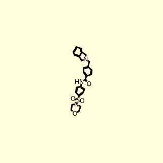 O=C(Nc1ccc(S(=O)(=O)N2CCOCC2)cc1)c1ccc(CN2Cc3ccccc3C2)cc1